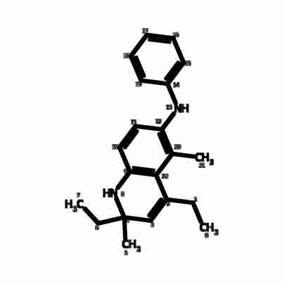 CCC1=CC(C)(CC)Nc2ccc(Nc3ccccc3)c(C)c21